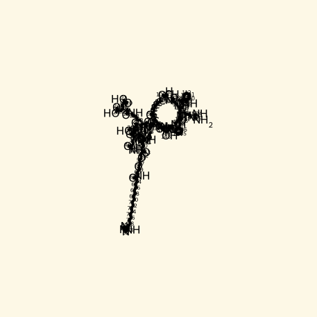 CCCC[C@H](NC(=O)[C@H](CCCCNC(=O)CN(CC(=O)O)CC(=O)O)NC(=O)[C@H](CO)NC(=O)[C@H](CCC(N)=O)NC(=O)[C@H](CO)NC(=O)CNC(=O)COCCOCCNC(=O)CCCCCCCCCCCCCCCc1nnn[nH]1)C(=O)N[C@H]1CCC(=O)CCCCC[C@@H](C(C)=O)NC(=O)[C@H](Cc2c[nH]c3ccccc23)NC(=O)[C@H](CCCNC(=N)N)NC(=O)[C@@H](Cc2ccccc2)NC(=O)[C@@H]2C[C@@H](O)CN2C1=O